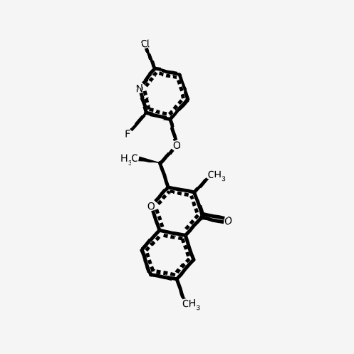 Cc1ccc2oc([C@@H](C)Oc3ccc(Cl)nc3F)c(C)c(=O)c2c1